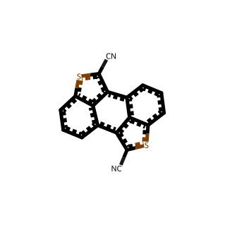 N#Cc1sc2cccc3c4c(C#N)sc5cccc(c1c23)c54